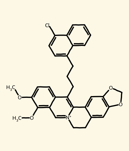 COc1ccc2c(CCCc3ccc(Cl)c4ccccc34)c3[n+](cc2c1OC)CCc1cc2c(cc1-3)OCO2